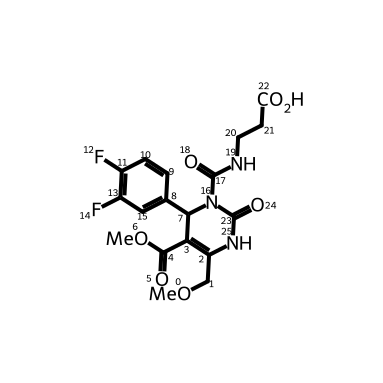 COCC1=C(C(=O)OC)C(c2ccc(F)c(F)c2)N(C(=O)NCCC(=O)O)C(=O)N1